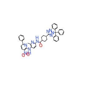 Cc1nc(NC(=O)C2CCC(c3nnn(C(c4ccccc4)(c4ccccc4)c4ccccc4)n3)CC2)ccc1Nc1nc(-c2ccccc2)ccc1[N+](=O)[O-]